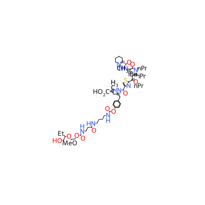 CCCO[C@H](C[C@H](C(C)C)N(CCC)C(=O)[C@@H](NC(=O)[C@H]1CCCCN1C)[C@@H](C)CC)c1nc(C(=O)N[C@@H](Cc2ccc(OC(=O)NCCCCNC(=O)CCNC(=O)OCC(OC)OC(CC)CO)cc2)C[C@H](C)C(=O)O)cs1